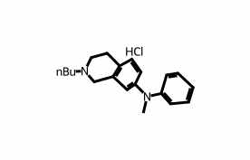 CCCCN1CCc2ccc(N(C)c3ccccc3)cc2C1.Cl